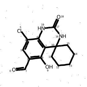 O=Cc1cc(Cl)c2c(c1O)C1(CCCCC1)NC(=O)N2